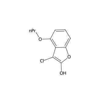 CCCOc1cccc2oc(O)c(Cl)c12